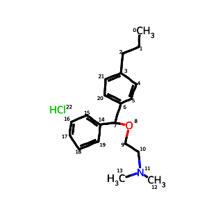 CCCc1ccc(C(OCCN(C)C)c2ccccc2)cc1.Cl